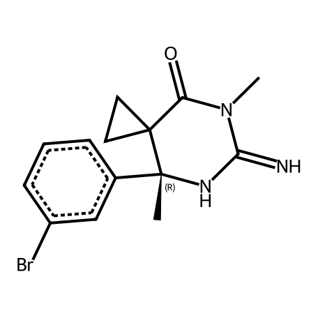 CN1C(=N)N[C@](C)(c2cccc(Br)c2)C2(CC2)C1=O